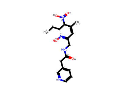 CCCC(C(C)=CC(CNC(=O)Cc1cccnc1)=NO)[N+](=O)[O-]